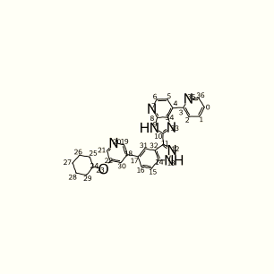 c1ccc(-c2ccnc3[nH]c(-c4n[nH]c5ccc(-c6cncc(OC7CCCCC7)c6)cc45)nc23)nc1